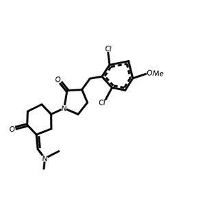 COc1cc(Cl)c(CC2CCN(C3CCC(=O)/C(=C/N(C)C)C3)C2=O)c(Cl)c1